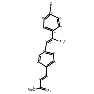 COC(=O)/C=C/c1ccc(/C=C(\C(=O)O)c2ccc(F)cc2)cc1